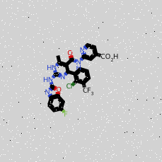 CC1=C(C(=O)Nc2cc(C(=O)O)ccn2)C(c2cccc(C(F)(F)F)c2Cl)N=C(Nc2nc3ccc(F)cc3o2)N1